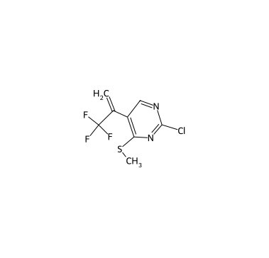 C=C(c1cnc(Cl)nc1SC)C(F)(F)F